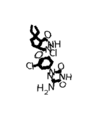 CCC1(CC)CCc2c(Oc3c(Cl)cc(-n4nc(N)c(=O)[nH]c4=O)cc3Cl)n[nH]c(=O)c21